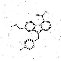 COCc1c[c]c2c3c(C(N)=O)cccc3n(Cc3ccc(I)cc3)c2c1